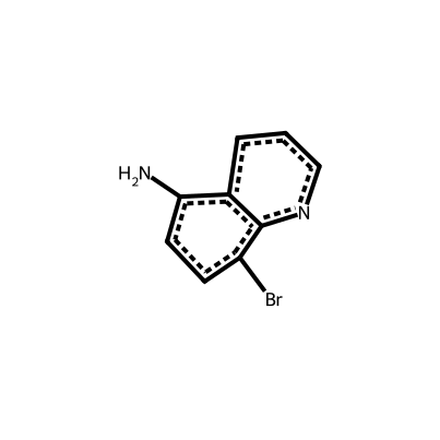 Nc1ccc(Br)c2ncccc12